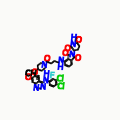 COc1cc2ncnc(Nc3ccc(Cl)c(Cl)c3F)c2cc1OC1CCN(C(=O)CCCNc2cccc3c2C(=O)N(C2CCC(=O)NC2=O)C3=O)CC1